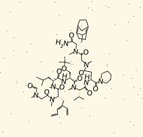 C=C/C=C(\C=C)C[C@@H](C(=O)N(C)[C@@H](CC(C)C)C(=O)N[C@@H](COC(C)(C)C)C(=O)N(C)[C@H](C(=O)NC(CC(=O)N(C)CC(=O)N(C)[C@@H](CC1C2=C3CCC(=C1CC2)C3)C(N)=O)C(=O)N1CCCCC1)C(C)C)N(C)C(=O)CN(C)C=O